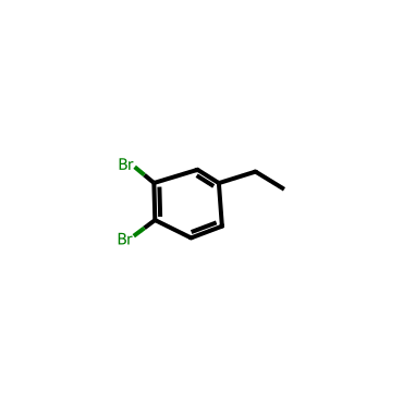 CCc1ccc(Br)c(Br)c1